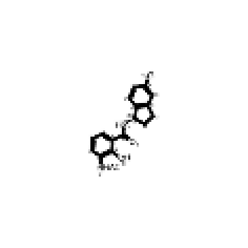 CC(=O)Nc1cccc(C(=O)N[C@@H]2CCc3cc(Cl)ccc32)c1O